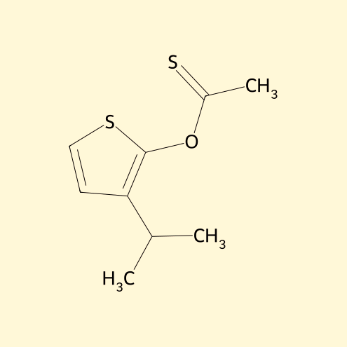 CC(=S)Oc1sccc1C(C)C